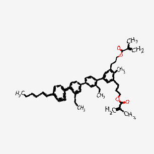 C=C(C)C(=O)OCCCc1cc(-c2ccc(-c3ccc(-c4ccc(CCCCCC)cc4)c(CC)c3)cc2CC)cc(CCCOC(=O)C(=C)C)c1C